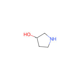 O[C]1CCNC1